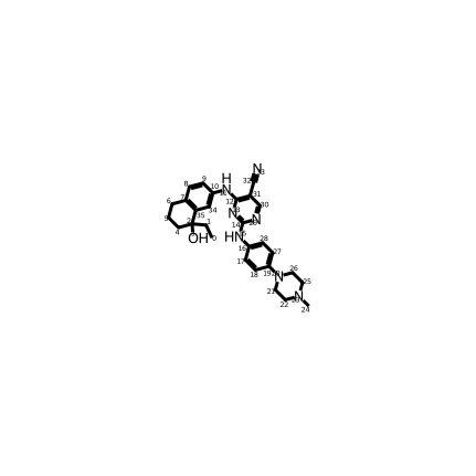 CCC1(O)CCCc2ccc(Nc3nc(Nc4ccc(N5CCN(C)CC5)cc4)ncc3C#N)cc21